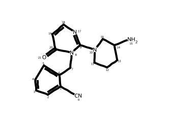 N#Cc1ccccc1Cn1c(N2CCCC(N)C2)nccc1=O